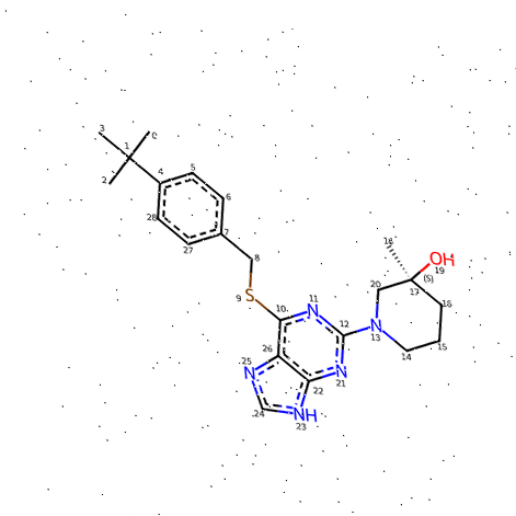 CC(C)(C)c1ccc(CSc2nc(N3CCC[C@](C)(O)C3)nc3[nH]cnc23)cc1